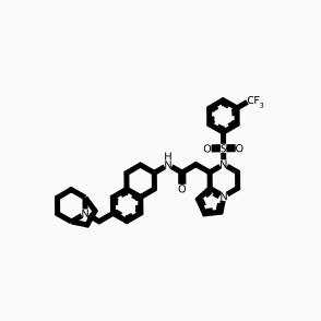 O=C(CC1c2cccn2CCN1S(=O)(=O)c1cccc(C(F)(F)F)c1)NC1CCc2cc(CN3C4CCCC3CC4)ccc2C1